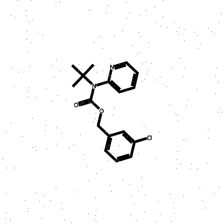 CC(C)(C)N(C(=O)OCc1cccc(Cl)c1)c1ccccn1